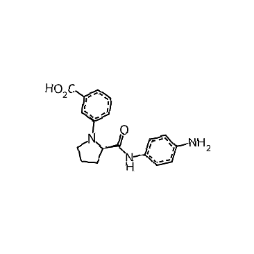 Nc1ccc(NC(=O)[C@H]2CCCN2c2cccc(C(=O)O)c2)cc1